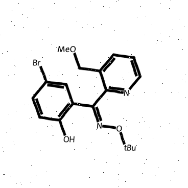 COCc1cccnc1/C(=N\OC(C)(C)C)c1cc(Br)ccc1O